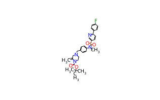 C[C@H]1CN(Cc2ccc(N(C)S(=O)(=O)c3ccc(-c4ccc(F)cc4)nc3)cc2)CCN1C(=O)OC(C)(C)C